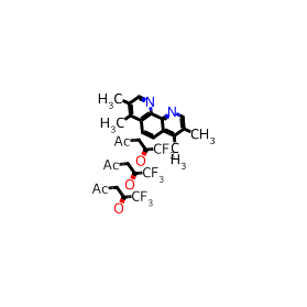 CC(=O)CC(=O)C(F)(F)F.CC(=O)CC(=O)C(F)(F)F.CC(=O)CC(=O)C(F)(F)F.Cc1cnc2c(ccc3c(C)c(C)cnc32)c1C